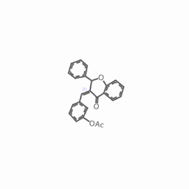 CC(=O)Oc1cccc(/C=C2\C(=O)c3ccccc3OC2c2ccccc2)c1